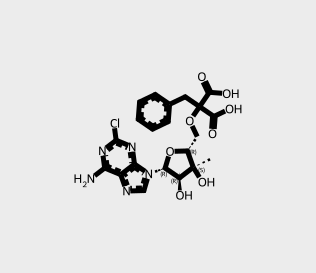 C[C@@]1(O)[C@@H](COC(Cc2ccccc2)(C(=O)O)C(=O)O)O[C@@H](n2cnc3c(N)nc(Cl)nc32)[C@@H]1O